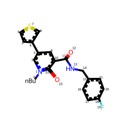 CCCCn1cc(-c2ccsc2)cc(C(=O)NCc2ccc(F)cc2)c1=O